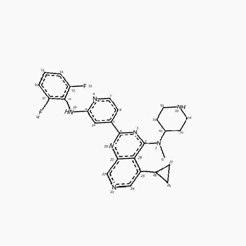 CN(c1nc(-c2ccnc(Nc3c(F)cccc3F)c2)nc2cncc(C3CC3)c12)C1CCNCC1